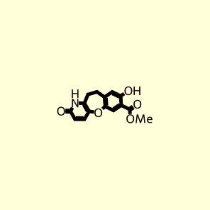 COC(=O)c1cc2c(cc1O)CCc1[nH]c(=O)ccc1O2